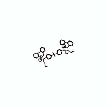 C=CCCC(c1ccc(C(C)(C)c2ccc(C(OCC=C)P(C)(=O)Cc3ccccc3-c3ccccc3)cc2)cc1)P1(=O)Cc2ccccc2C2=C1C=CCC2